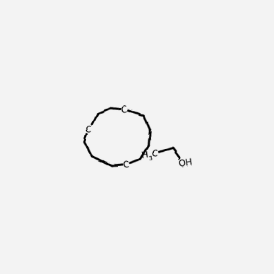 C1CCCCCCCCCCC1.CCO